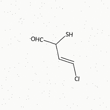 O=[C]C(S)C=CCl